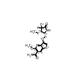 CC[C@H]1[C@@H](COc2csc3cc(C(N)=O)c(OC)nc23)NC(=O)C1(F)F